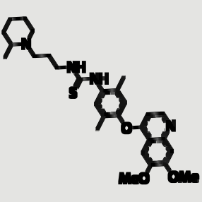 COc1cc2nccc(Oc3cc(C)c(NC(=S)NCCCN4CCCCC4C)cc3C)c2cc1OC